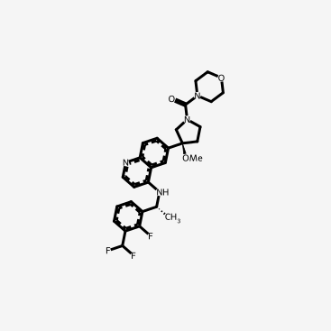 CO[C@]1(c2ccc3nccc(N[C@H](C)c4cccc(C(F)F)c4F)c3c2)CCN(C(=O)N2CCOCC2)C1